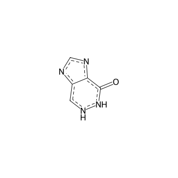 O=c1[nH][nH]cc2ncnc1-2